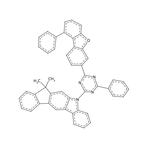 CC1(C)c2ccccc2-c2cc3c4ccccc4n(-c4nc(-c5ccccc5)nc(-c5ccc6c(c5)oc5cccc(-c7ccccc7)c56)n4)c3cc21